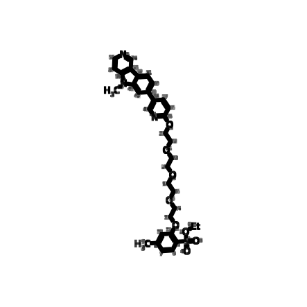 CCOS(=O)(=O)c1ccc(C)cc1OCCOCCOCCOCCOc1ccc(-c2ccc3c4cnccc4n(C)c3c2)cn1